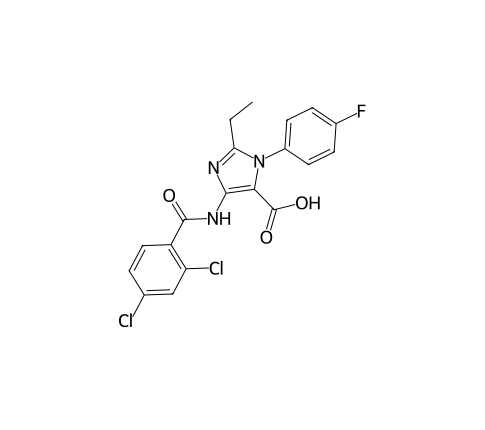 CCc1nc(NC(=O)c2ccc(Cl)cc2Cl)c(C(=O)O)n1-c1ccc(F)cc1